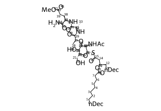 CCCCCCCCCCCCCCCCCC(=O)O[C@H](CCCCCCCCCCC)CC(=O)S[C@@H]1O[C@H](CO)[C@@H](O)[C@@H](OC(C)C(=O)N[C@@H](C)C(=O)N[C@H](CCC(=O)OC)C(N)=O)[C@H]1NC(C)=O